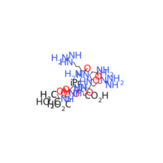 CC(C)[C@H](NC(=O)[C@H](CC(=O)O)NC(=O)[C@H](CCCNC(=N)N)NC(=O)[C@H](CC(N)=O)NC(=O)[C@@H](N)CCCNC(=N)N)C(=O)N[C@@H](CC(=O)O)C(=O)N[C@H](C(=O)O)[C@@H](C)O